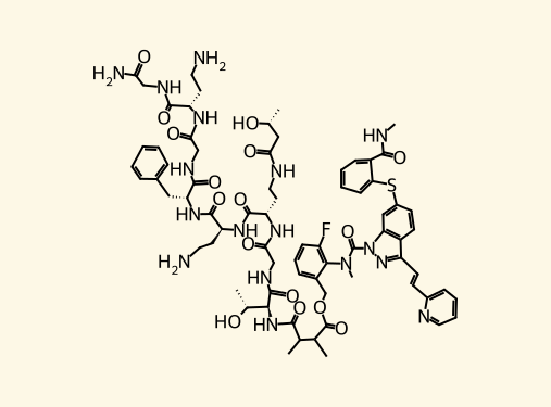 CNC(=O)c1ccccc1Sc1ccc2c(/C=C/c3ccccn3)nn(C(=O)N(C)c3c(F)cccc3COC(=O)C(C)C(C)C(=O)N[C@H](C(=O)NCC(=O)N[C@@H](CCNC(=O)C[C@@H](C)O)C(=O)N[C@@H](CCN)C(=O)N[C@H](Cc3ccccc3)C(=O)NCC(=O)N[C@@H](CCN)C(=O)NCC(N)=O)[C@@H](C)O)c2c1